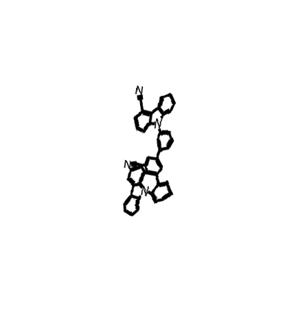 N#Cc1cc(-c2cccc(-n3c4ccccc4c4c(C#N)cccc43)c2)cc(-c2ccccc2-n2c3ccccc3c3ccccc32)c1